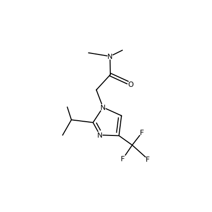 CC(C)c1nc(C(F)(F)F)cn1CC(=O)N(C)C